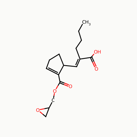 CCCCC(=CC1CCC=C1C(=O)OCC1CO1)C(=O)O